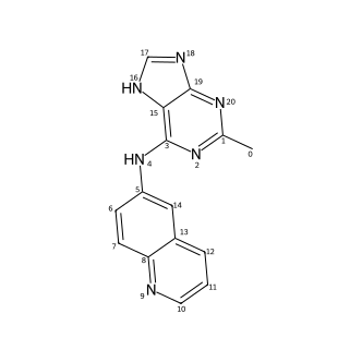 Cc1nc(Nc2ccc3ncccc3c2)c2[nH]cnc2n1